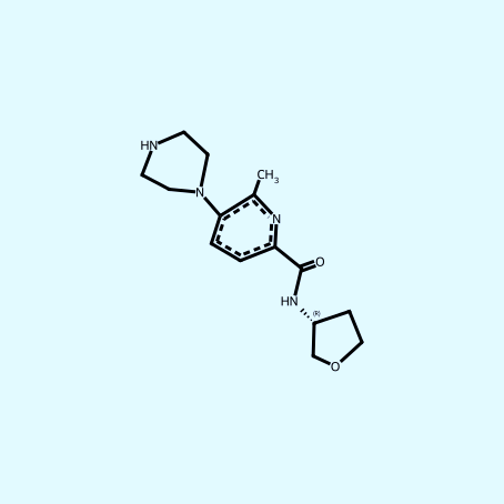 Cc1nc(C(=O)N[C@@H]2CCOC2)ccc1N1CCNCC1